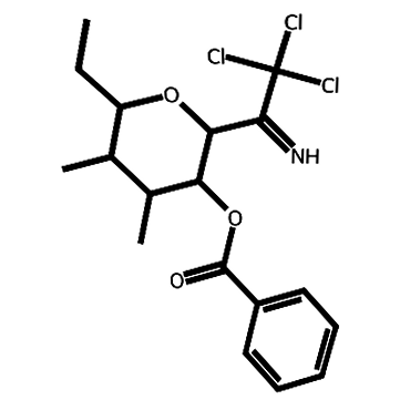 CCC1OC(C(=N)C(Cl)(Cl)Cl)C(OC(=O)c2ccccc2)C(C)C1C